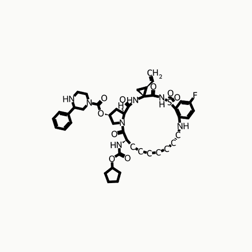 C=C[C@@H]1C[C@@]12NC(=O)[C@@H]1C[C@@H](OC(=O)N3CCNC(c4ccccc4)C3)CN1C(=O)[C@@H](NC(=O)OC1CCCC1)CCCCCCCNc1ccc(F)cc1S(=O)(=O)NC2=O